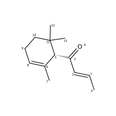 C/C=C/C(=O)[C@@H]1C(C)=CCCC1(C)C